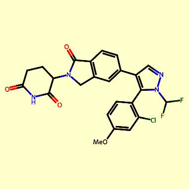 COc1ccc(-c2c(-c3ccc4c(c3)CN(C3CCC(=O)NC3=O)C4=O)cnn2C(F)F)c(Cl)c1